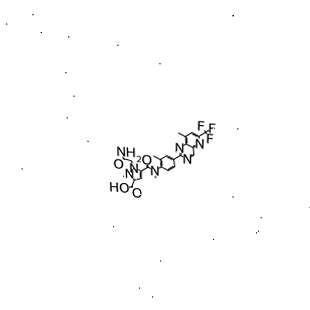 Cc1cc(-c2ncc3nc(C(F)(F)F)cc(C)c3n2)ccc1N(C)C(=O)c1cc(C(=O)O)nn1CC(N)=O